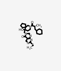 CSc1ncc2c(=O)n(CC3(O)CCN(C(=O)[C@H](C)CC4CCCCC4)CC34CCCC4)cnc2n1